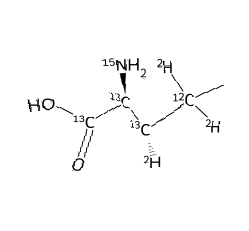 [2H][13C@H]([13C@H]([15NH2])[13C](=O)O)[12C]([2H])([2H])C